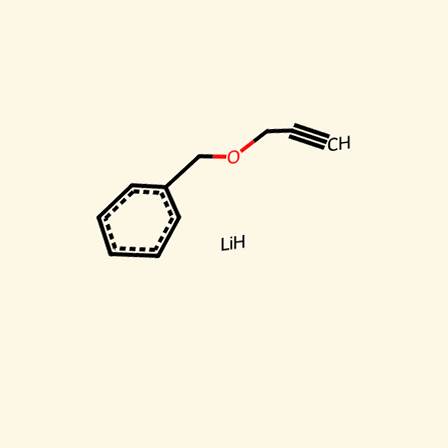 C#CCOCc1ccccc1.[LiH]